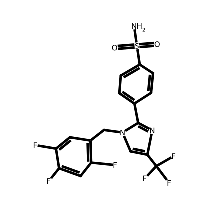 NS(=O)(=O)c1ccc(-c2nc(C(F)(F)F)cn2Cc2cc(F)c(F)cc2F)cc1